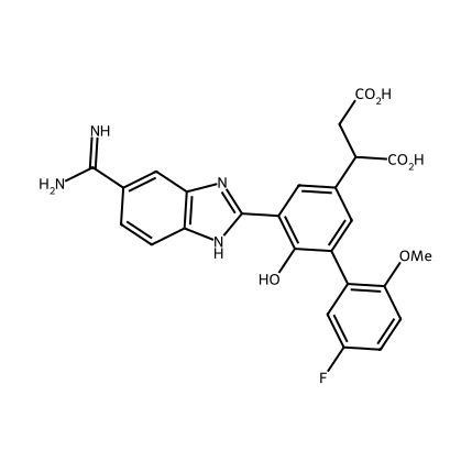 COc1ccc(F)cc1-c1cc(C(CC(=O)O)C(=O)O)cc(-c2nc3cc(C(=N)N)ccc3[nH]2)c1O